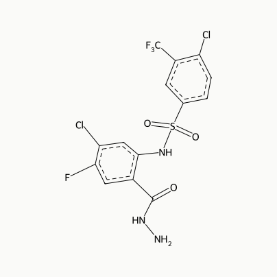 NNC(=O)c1cc(F)c(Cl)cc1NS(=O)(=O)c1ccc(Cl)c(C(F)(F)F)c1